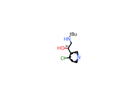 CC(C)(C)NC[C@H](O)c1cnccc1Cl